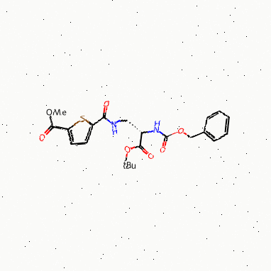 COC(=O)c1ccc(C(=O)NC[C@H](NC(=O)OCc2ccccc2)C(=O)OC(C)(C)C)s1